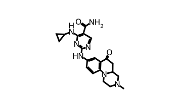 CN1CCN2c3ccc(Nc4ncc(C(N)=O)c(NC5CC5)n4)cc3C(=O)CC2C1